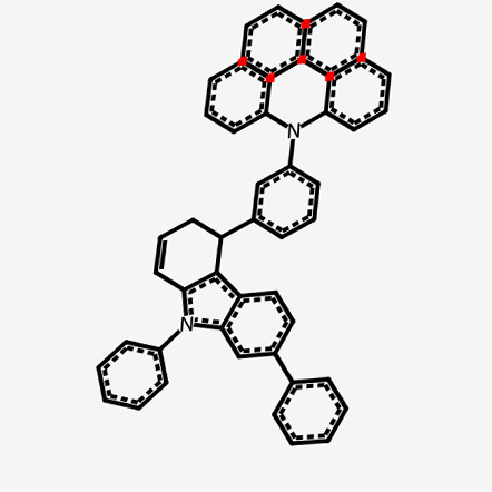 C1=Cc2c(c3ccc(-c4ccccc4)cc3n2-c2ccccc2)C(c2cccc(N(c3ccccc3-c3ccccc3)c3ccccc3-c3ccccc3)c2)C1